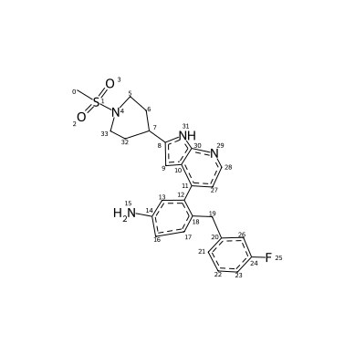 CS(=O)(=O)N1CCC(c2cc3c(-c4cc(N)ccc4Cc4cccc(F)c4)ccnc3[nH]2)CC1